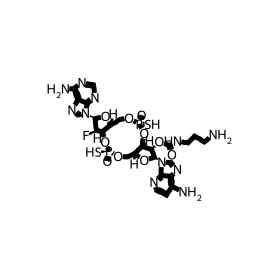 NCCCNC(=O)O[C@@H]1[C@@H]2OP(=O)(S)OC[C@H]3O[C@@H](n4cnc5c(N)ncnc54)[C@H](F)[C@@H]3O[P@](=O)(S)OC[C@H]2O[C@H]1n1cnc2c(N)ccnc21